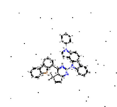 CC1(C)C=Cc2nc(-n3c4ccccc4c4ccc5c(ccn5-c5ccccc5)c43)nc(-c3cccc4c3sc3ccccc34)c21